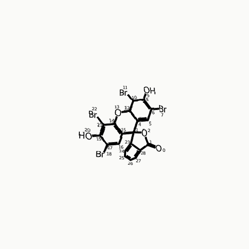 O=C1OC2(C3=CC(Br)=C(O)C(Br)C3Oc3c2cc(Br)c(O)c3Br)c2ccccc21